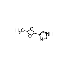 CC1OC(c2c[nH]cn2)O1